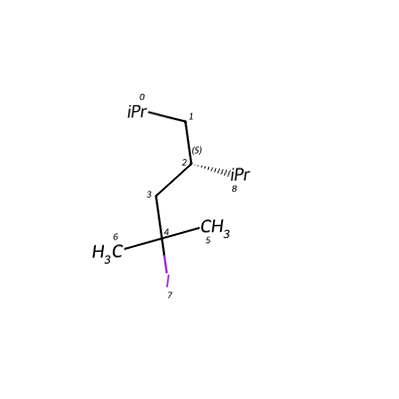 CC(C)C[C@@H](CC(C)(C)I)C(C)C